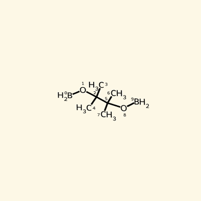 BOC(C)(C)C(C)(C)OB